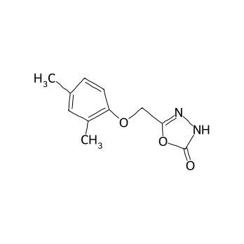 Cc1ccc(OCc2n[nH]c(=O)o2)c(C)c1